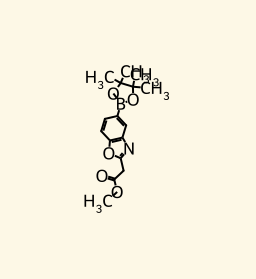 COC(=O)Cc1nc2cc(B3OC(C)(C)C(C)(C)O3)ccc2o1